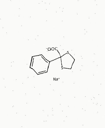 O=C([O-])C1(c2ccccc2)SCCS1.[Na+]